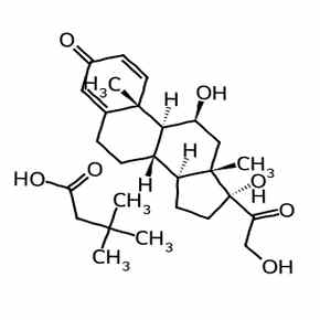 CC(C)(C)CC(=O)O.C[C@]12C=CC(=O)C=C1CC[C@@H]1[C@@H]2[C@@H](O)C[C@@]2(C)[C@H]1CC[C@]2(O)C(=O)CO